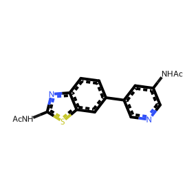 CC(=O)Nc1cncc(-c2ccc3nc(NC(C)=O)sc3c2)c1